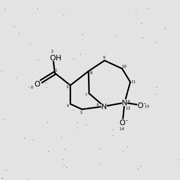 O=C(O)C1CCN2CC1CCC[N+]2([O-])[O-]